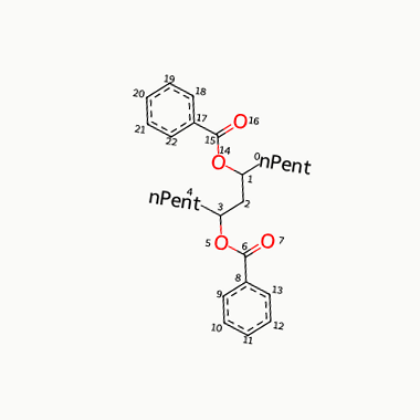 CCCCCC(CC(CCCCC)OC(=O)c1ccccc1)OC(=O)c1ccccc1